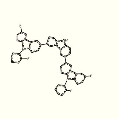 Fc1ccc2c(c1)c1cc(-c3ccc4[nH]c5ccc(-c6ccc7c(c6)c6cc(F)ccc6n7-c6ccccc6F)cc5c4c3)ccc1n2-c1ccccc1F